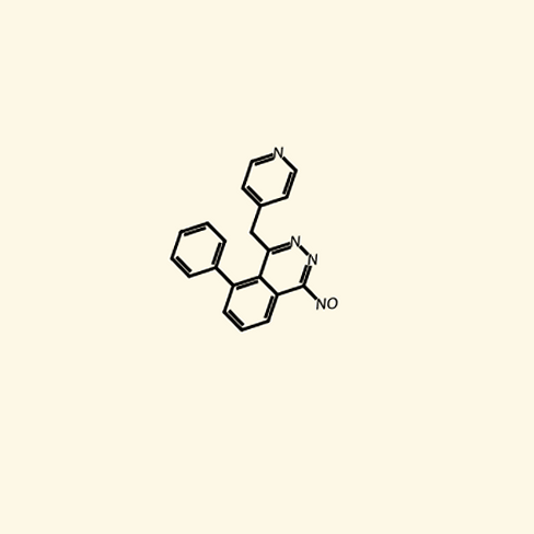 O=Nc1nnc(Cc2ccncc2)c2c(-c3ccccc3)cccc12